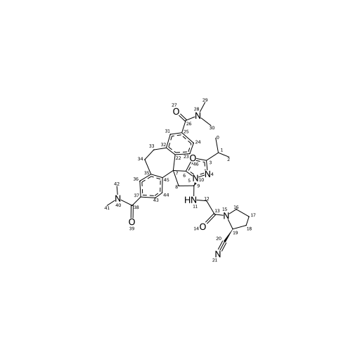 CC(C)c1nnc(C2(C[C@@H](C)NCC(=O)N3CCC[C@H]3C#N)c3ccc(C(=O)N(C)C)cc3CCc3cc(C(=O)N(C)C)ccc32)o1